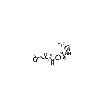 Cc1cc(NS(=O)(=O)c2ccc(NC(=S)NC(=O)/C=C/c3cccs3)cc2)no1